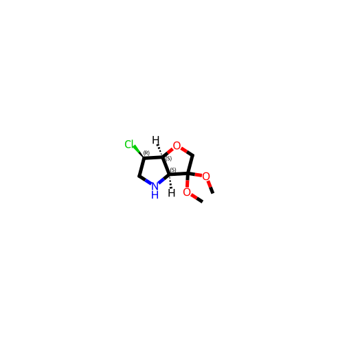 COC1(OC)CO[C@@H]2[C@H](Cl)CN[C@@H]21